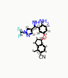 Cc1c(C#N)ccc2c1CCC2Oc1ccc(N)c(C(=N)c2cnn(C(F)F)c2)c1